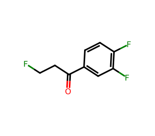 O=C(CCF)c1ccc(F)c(F)c1